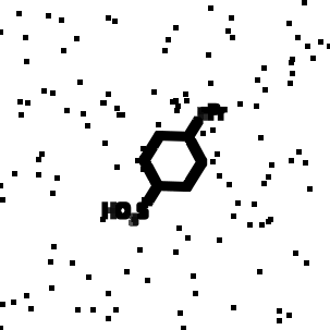 CCCC1CCC(S(=O)(=O)O)CC1